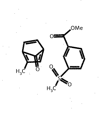 CC1=C2C=CC(=C1)C2=O.COC(=O)c1cccc(S(C)(=O)=O)c1